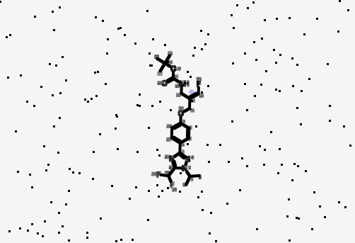 CC(C)n1nc(-c2ccc(OC/C(=C/F)CNC(=O)OC(C)(C)C)cc2)nc1C(F)F